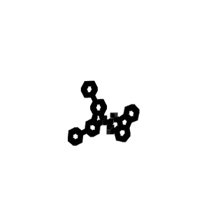 c1ccc(-c2ccc3c(c2)c2cc(-c4ccccc4)ccc2n3-c2nc3c4c(cccc4n2)-c2ccccc2-3)cc1